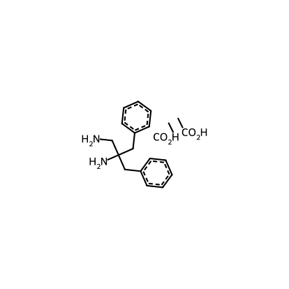 CC(=O)O.CC(=O)O.NCC(N)(Cc1ccccc1)Cc1ccccc1